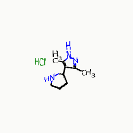 Cc1n[nH]c(C)c1C1CCCN1.Cl